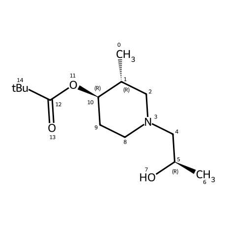 C[C@@H]1CN(C[C@@H](C)O)CC[C@H]1OC(=O)C(C)(C)C